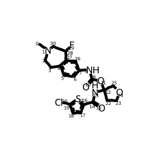 CN1CCc2ccc(NC(=O)OC3(NC(=O)c4ccc(Cl)s4)CCOC3)cc2C(F)C1